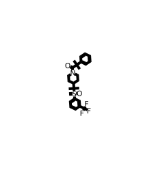 C=S(=O)(c1cccc(C(F)(F)F)c1)C(C)(C)C1CCN(C(=O)C(C)(C)c2ccccc2)CC1